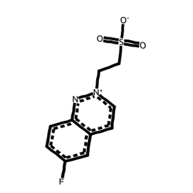 O=S(=O)([O-])CC[n+]1ccc2cc(F)ccc2n1